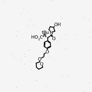 CC(C)(C)N(C(=O)O)[C@H](C(=O)N1CCC(O)C1)c1ccc(OCCOC2CCCCO2)cc1